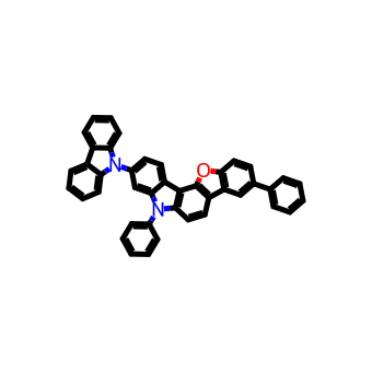 c1ccc(-c2ccc3oc4c(ccc5c4c4ccc(-n6c7ccccc7c7ccccc76)cc4n5-c4ccccc4)c3c2)cc1